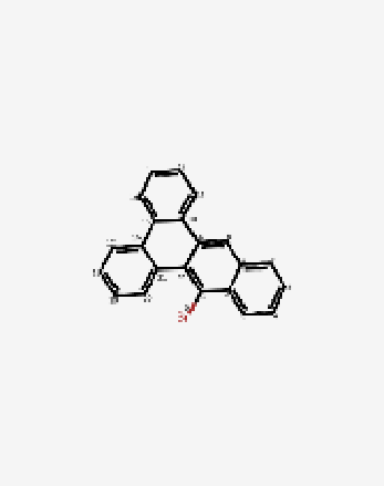 Brc1c2ccccc2cc2c3ccccc3c3ccccc3c12